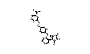 CC(=O)c1cc(COc2ccc(Sc3ccncc3C3NC(=O)NC3=O)cc2)ccn1